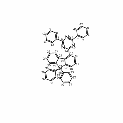 c1ccc(-c2nc(-c3ccccc3)nc(-c3cccc4c3-c3ccccc3[Si]4(c3ccccc3)c3ccccc3)n2)cc1